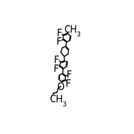 CCCCOc1ccc(-c2ccc(C3CC=C(c4ccc(C)c(F)c4F)CC3)c(F)c2F)c(F)c1F